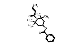 CC=CC(=O)N1C(C)(C)CC(OC(=O)c2ccccc2)CC1(C)C